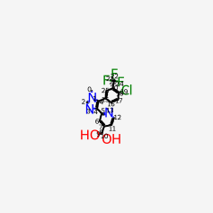 Cn1cnc(-c2cc(C(O)O)ccn2)c1-c1ccc(Cl)c(C(F)(F)F)c1